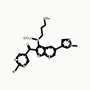 CCOC(=O)N(CCCOC)c1c(C(=O)c2cnc(Br)nc2)oc2ncc(-c3cnn(C)c3)cc12